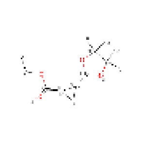 CCOC(=O)[C@@H]1C[C@H]1B1OC(C)(C)C(C)(C)O1